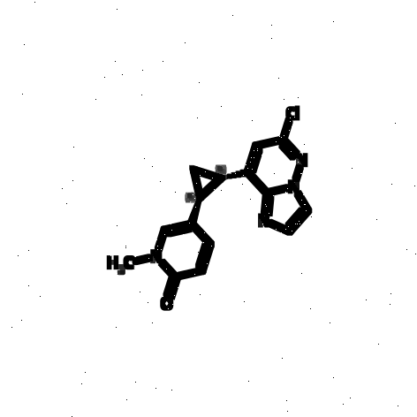 Cn1cc([C@H]2C[C@@H]2c2cc(Cl)nn3ccnc23)ccc1=O